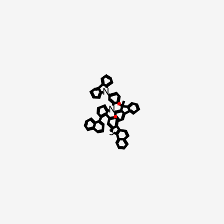 CC1(C)c2ccccc2-c2cccc(N(c3cccc(-n4c5ccccc5c5ccccc54)c3)c3cccc(-c4cccc5ccccc45)c3-c3ccc4c(c3)sc3c5ccccc5ccc43)c21